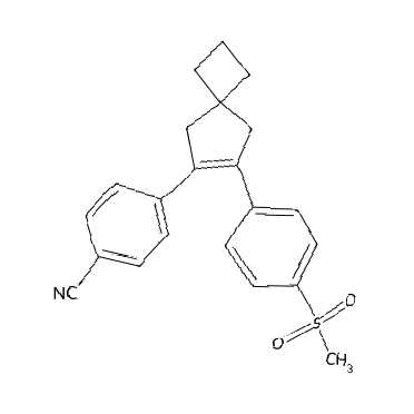 CS(=O)(=O)c1ccc(C2=C(c3ccc(C#N)cc3)CC3(CCC3)C2)cc1